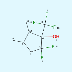 CC1CC(F)(F)C(O)(C(F)(F)F)C1C